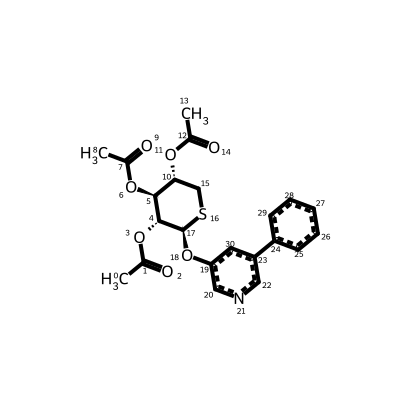 CC(=O)O[C@@H]1[C@@H](OC(C)=O)[C@H](OC(C)=O)CS[C@H]1Oc1cncc(-c2ccccc2)c1